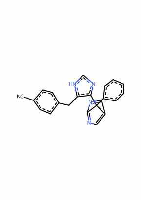 N#Cc1ccc(Cc2[nH]cnc2C2(c3ccccc3)C3=CN=C2N=C3)cc1